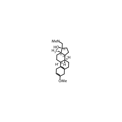 CNC[C@]1(O)CC[C@H]2[C@@H]3CCC4=C(CC=C(OC)C4)[C@H]3CC[C@@]21C